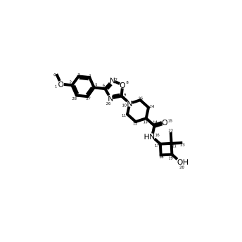 COc1ccc(-c2noc(N3CCC(C(=O)NC4CC(O)C4(C)C)CC3)n2)cc1